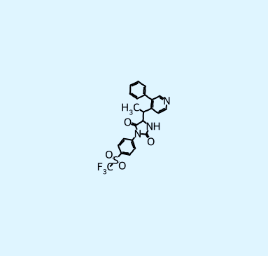 CC(c1ccncc1-c1ccccc1)C1NC(=O)N(c2ccc(S(=O)(=O)C(F)(F)F)cc2)C1=O